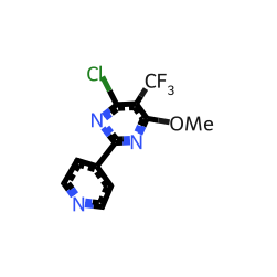 COc1nc(-c2ccncc2)nc(Cl)c1C(F)(F)F